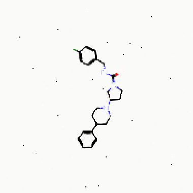 O=C(NCc1ccc(F)cc1)N1CCC(N2CCC(c3ccccc3)CC2)C1